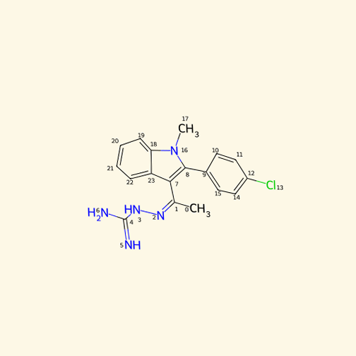 C/C(=N/NC(=N)N)c1c(-c2ccc(Cl)cc2)n(C)c2ccccc12